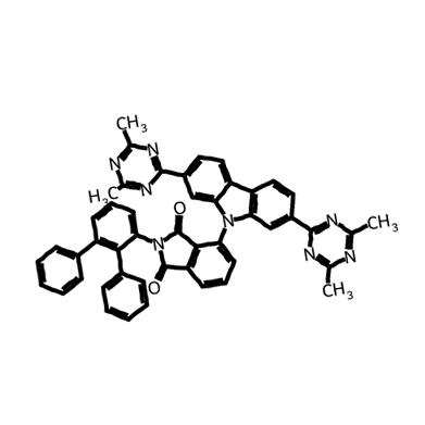 Cc1nc(C)nc(-c2ccc3c4ccc(-c5nc(C)nc(C)n5)cc4n(-c4cccc5c4C(=O)N(c4cccc(-c6ccccc6)c4-c4ccccc4)C5=O)c3c2)n1